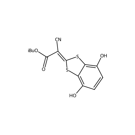 CC(C)COC(=O)C(C#N)=C1Sc2c(O)ccc(O)c2S1